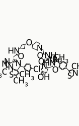 Cc1ncsc1-c1ccc([C@H](C)NC(=O)C2C[C@H](O)CN2C(=O)[C@@H](NC(=O)CN2CCC(OC3CC(NC(=O)C[C@@H]4N=C(c5ccc(Cl)cc5)c5c(sc(C)c5C)-n5c(C)nnc54)C3)CC2)C(C)(C)C)cc1